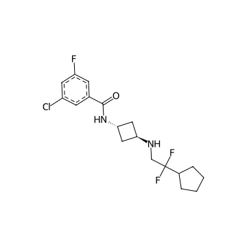 O=C(N[C@H]1C[C@H](NCC(F)(F)C2CCCC2)C1)c1cc(F)cc(Cl)c1